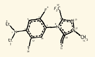 CCN(CC)c1cc(F)c(-n2c(C(F)(F)F)nn(C)c2=S)cc1F